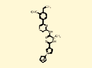 C=Cc1ccc(C2=CSCC(NC(=O)[C@H](C)NC(=O)c3ccn(C45CCC(C4)C5)c3)=N2)cc1C=O